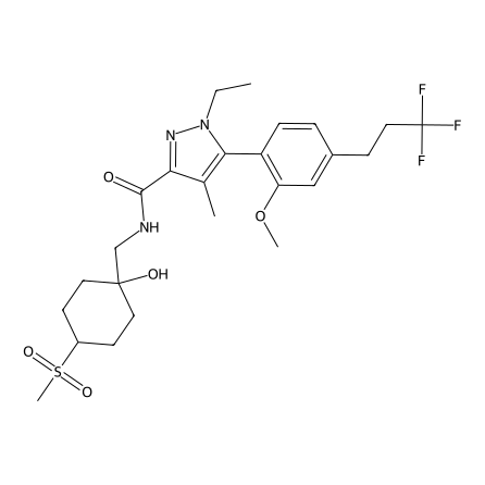 CCn1nc(C(=O)NCC2(O)CCC(S(C)(=O)=O)CC2)c(C)c1-c1ccc(CCC(F)(F)F)cc1OC